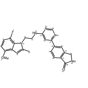 COc1ccc(F)c2c1cc(C)n2CCNc1cc(-c2ccc3c(c2)CNC3=O)ncn1